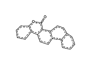 O=c1oc2ccccc2c2ccc3c4ccccc4ccc3c12